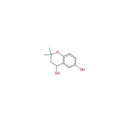 CC1(C)CC(O)c2cc(O)ccc2O1